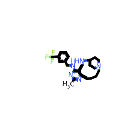 Cc1nc(NCc2cccc(C(F)(F)F)c2)c2/c(n1)=C\CCCN1CCC(CC1)N/C=2